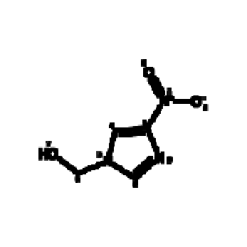 O=[N+]([O-])c1cn(CO)cn1